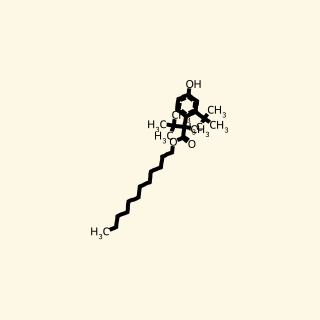 CCCCCCCCCCCCOC(=O)C(C)(c1ccc(O)cc1C(C)(C)C)C(C)(C)C